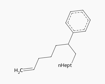 C=CCCCC(CCCCCCCC)c1ccccc1